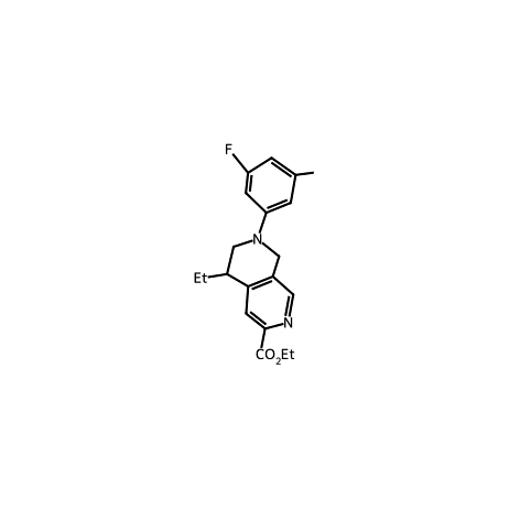 CCOC(=O)c1cc2c(cn1)CN(c1cc(C)cc(F)c1)CC2CC